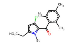 CCn1c(CC(=O)O)cc(Cl)c1C(=O)c1c(C)cc(C)cc1C